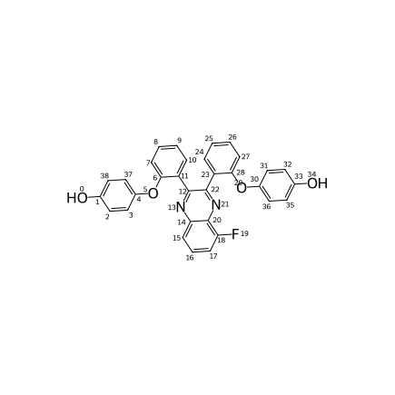 Oc1ccc(Oc2ccccc2-c2nc3cccc(F)c3nc2-c2ccccc2Oc2ccc(O)cc2)cc1